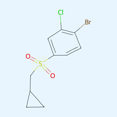 O=S(=O)(CC1CC1)c1ccc(Br)c(Cl)c1